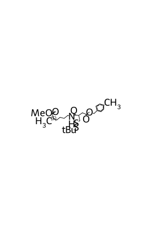 COC(=O)[C@@H](C)CCCCNC(=O)C(CSSC(C)(C)C)CC(=O)OCc1ccc(C)cc1